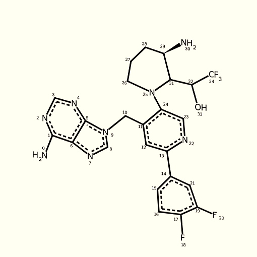 Nc1ncnc2c1ncn2Cc1cc(-c2ccc(F)c(F)c2)ncc1N1CCC[C@@H](N)C1C(O)C(F)(F)F